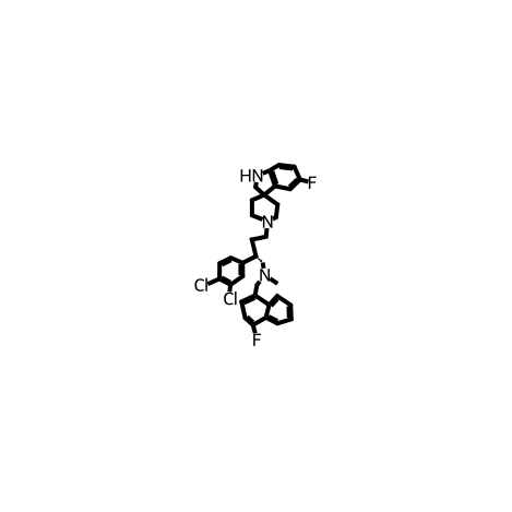 CN(Cc1ccc(F)c2ccccc12)C[C@@H](CCN1CCC2(CC1)CNc1ccc(F)cc12)c1ccc(Cl)c(Cl)c1